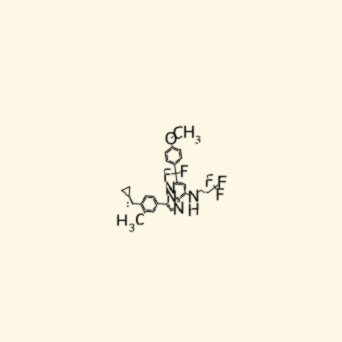 COc1ccc(C(F)(F)c2cc(NCCC(F)(F)F)c3ncc(-c4ccc([C]C5CC5)c(C)c4)n3n2)cc1